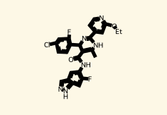 CCOc1cc(C2=NC(c3ccc(Cl)cc3F)C(C(=O)Nc3cc4cn[nH]c4cc3F)=C(C)N2)ccn1